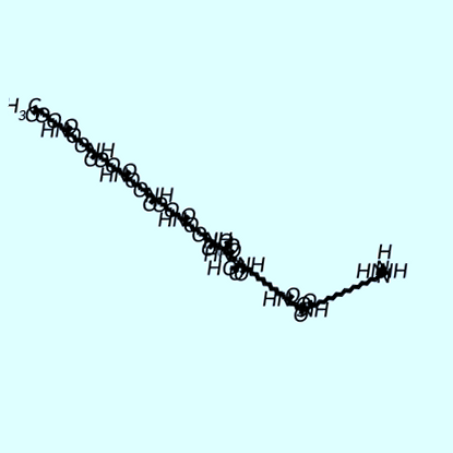 CC(=O)COCCOCCNC(=O)COCCOCCNC(=O)COCCOCCNC(=O)COCCOCCNC(=O)COCCOCCNC(=O)COCCOCCNC(=O)CC[C@H](NC(=O)CC[C@H](NC(=O)CCCCCCCCCCCNC(=O)CCCS(=O)(=O)NC(=O)CCCCCCCCCCCCCCCC1=NNNN1)C(=O)O)C(=O)O